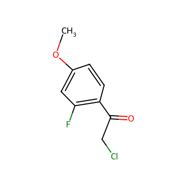 COc1ccc(C(=O)CCl)c(F)c1